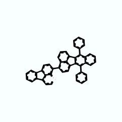 c1ccc(-c2c3c(c(-c4ccccc4)c4ccccc24)-c2ccc(-c4ccc5c6c(ccnc46)-c4ccccc4-5)c4cccc-3c24)cc1